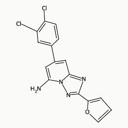 Nc1cc(-c2ccc(Cl)c(Cl)c2)cc2nc(-c3ccco3)nn12